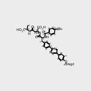 CCCCCCCOc1ccc(-c2cnc(-c3ccc(C[C@H](NC(=O)c4ccc(C(C)(C)C)cc4)C(=O)N[C@@H](CC(=O)N[C@@H](C)C(=O)O)C(=O)O)cc3)nc2)cc1